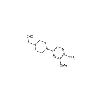 COc1cc(N2CCN(CC=O)CC2)ccc1N